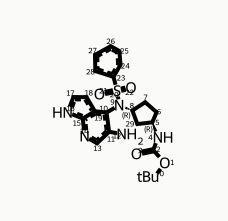 CC(C)(C)OC(=O)N[C@@H]1CC[C@@H](N(c2c(N)cnc3[nH]ccc23)S(=O)(=O)c2ccccc2)C1